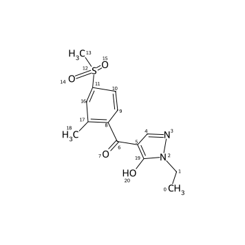 CCn1ncc(C(=O)c2ccc(S(C)(=O)=O)cc2C)c1O